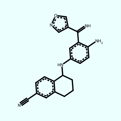 N#Cc1ccc2c(c1)CCCC2Nc1ccc(N)c(C(=N)c2cnoc2)c1